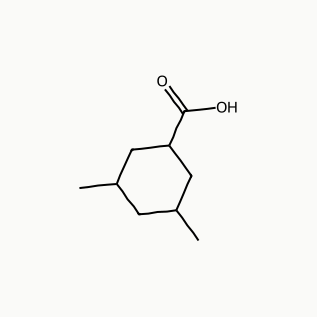 CC1CC(C)CC(C(=O)O)C1